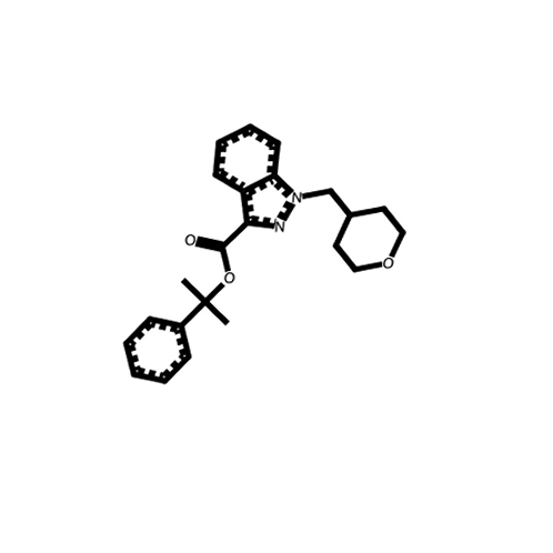 CC(C)(OC(=O)c1nn(CC2CCOCC2)c2ccccc12)c1ccccc1